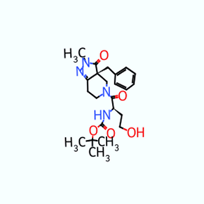 CN1N=C2CCN(C(=O)[C@@H](CCO)NC(=O)OC(C)(C)C)C[C@@]2(Cc2ccccc2)C1=O